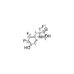 NC(CF)(Cc1ccc(O)c(F)c1F)C(=O)O